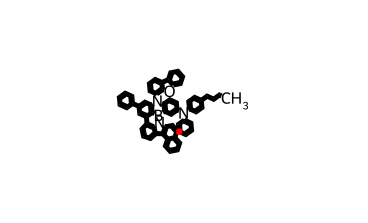 CCCCc1ccc(N(c2ccccc2)c2ccc3c(c2)B2c4c(cc(-c5ccccc5)cc4N3c3cccc4c3oc3ccccc34)-c3cccc4c5c6ccccc6ccc5n2c34)cc1